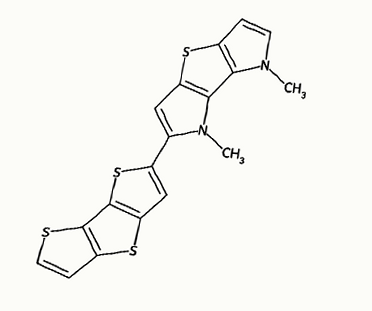 Cn1ccc2sc3cc(-c4cc5sc6ccsc6c5s4)n(C)c3c21